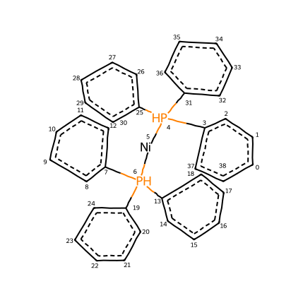 c1ccc([PH]([Ni][PH](c2ccccc2)(c2ccccc2)c2ccccc2)(c2ccccc2)c2ccccc2)cc1